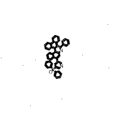 O=P(c1ccccc1)(c1ccccc1)c1cncc(-c2cc3nc(-c4ccccc4)c4c5ccccc5c5ccccc5c4c3c3ccccc23)c1